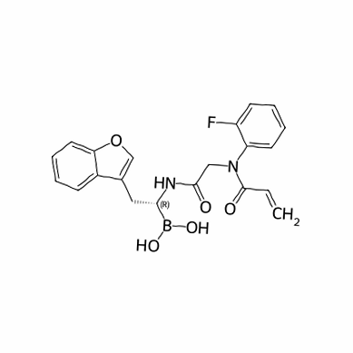 C=CC(=O)N(CC(=O)N[C@@H](Cc1coc2ccccc12)B(O)O)c1ccccc1F